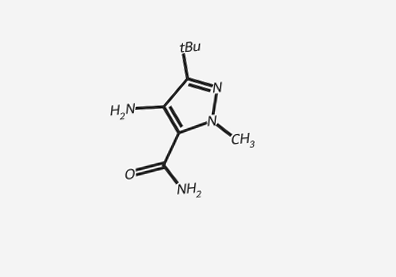 Cn1nc(C(C)(C)C)c(N)c1C(N)=O